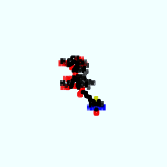 CC(=O)NC1(C)C(C)(COC[C@]2(C)OC(C)(CO)[C@@H](C)C(C)(O)C2(C)O)[C@H](O)C(C)(CO)O[C@@]1(C)COC(=O)CCCCC1SC[C@@H]2NC(=O)N[C@H]12